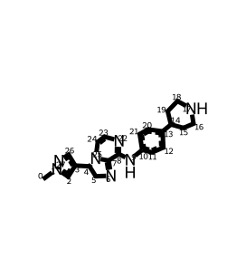 Cn1cc(C2CN=C3C(Nc4ccc(C5CCNCC5)cc4)=NC=CN32)cn1